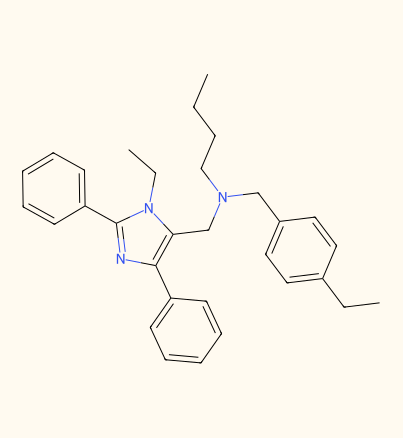 CCCCN(Cc1ccc(CC)cc1)Cc1c(-c2ccccc2)nc(-c2ccccc2)n1CC